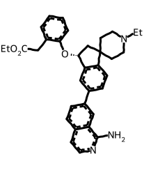 CCOC(=O)Cc1ccccc1O[C@@H]1CC2(CCN(CC)CC2)c2ccc(-c3ccc4ccnc(N)c4c3)cc21